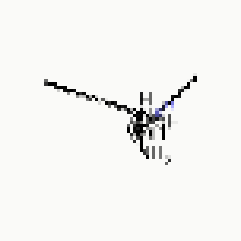 CCCCCCC/C=C/C=C/[C@@H](O)[C@H](COP(=O)(O)OCCN)NC(=O)CCCCCCCCCCCCCCCCCCC